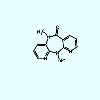 CCCN1c2ncccc2C(=O)N(C)c2cccnc21